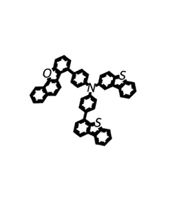 c1ccc2c(c1)ccc1c2oc2cccc(-c3ccc(N(c4ccc(-c5cccc6c5sc5ccccc56)cc4)c4ccc5sc6ccccc6c5c4)cc3)c21